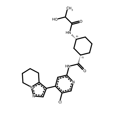 CC(O)C(=O)N[C@@H]1CCC[C@H](C(=O)Nc2cc(-c3cnn4c3CCCC4)c(Cl)cn2)C1